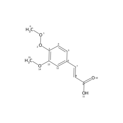 COOc1ccc(C=CC(=O)O)cc1OC